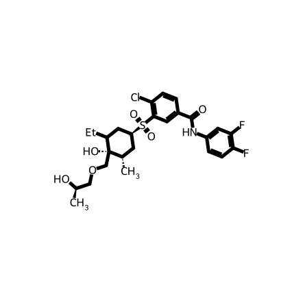 CCC1C[C@@H](S(=O)(=O)c2cc(C(=O)Nc3ccc(F)c(F)c3)ccc2Cl)C[C@H](C)[C@@]1(O)COC[C@@H](C)O